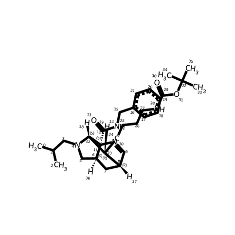 CC(C)CN1C[C@@H]2C[C@H]3C=N[C@]2(C(=O)NCc2ccccc2)[C@@H]1[C@@H]3CCCCNC(=O)OC(C)(C)C